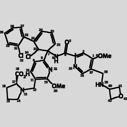 COc1cc(C(=O)NC2(c3ccc(CN4CCC[C@H]4C(=O)O)c(OC)n3)C=CC=C(c3ccccc3Cl)C2Cl)ncc1CNC1COC1